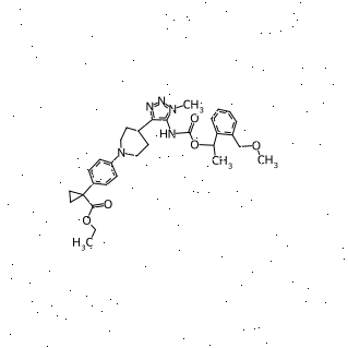 CCOC(=O)C1(c2ccc(N3CCC(c4nnn(C)c4NC(=O)OC(C)c4ccccc4COC)CC3)cc2)CC1